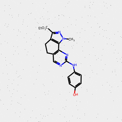 CCOC(=O)c1nn(C)c2c1CCc1cnc(Nc3ccc(O)cc3)nc1-2